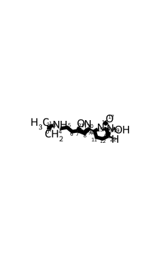 C=C(C)NCCCc1cc([C@@H]2CC[C@@H]3CN2C(=O)N3O)no1